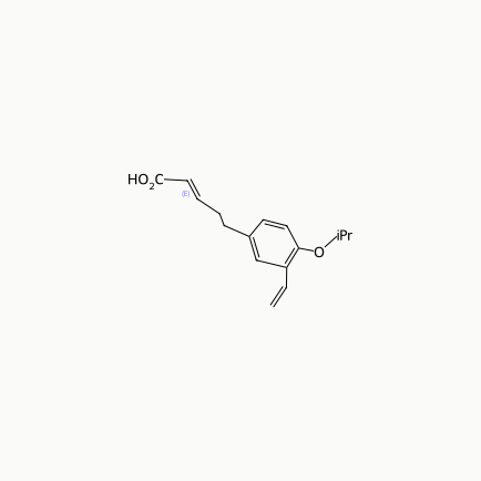 C=Cc1cc(CC/C=C/C(=O)O)ccc1OC(C)C